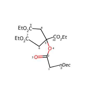 CCCCCCCCCCCC(=O)OC(CC(=O)OCC)(CC(=O)OCC)C(=O)OCC